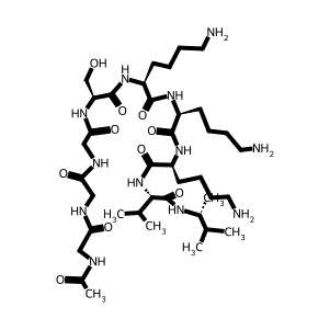 CC(=O)NCC(=O)NCC(=O)NCC(=O)N[C@@H](CO)C(=O)N[C@@H](CCCCN)C(=O)N[C@@H](CCCCN)C(=O)N[C@@H](CCCCN)C(=O)N[C@H](C(=O)N[C@H](C)C(C)C)C(C)C